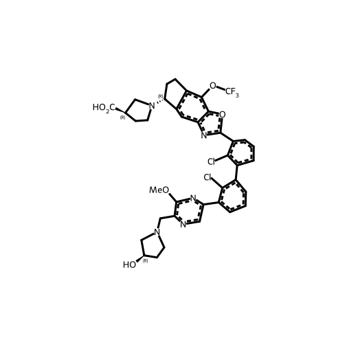 COc1nc(-c2cccc(-c3cccc(-c4nc5cc6c(c(OC(F)(F)F)c5o4)CC[C@H]6N4CC[C@@H](C(=O)O)C4)c3Cl)c2Cl)cnc1CN1CC[C@@H](O)C1